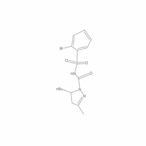 CCCCC1CC(C)=NN1C(=O)NS(=O)(=O)c1ccccc1Br